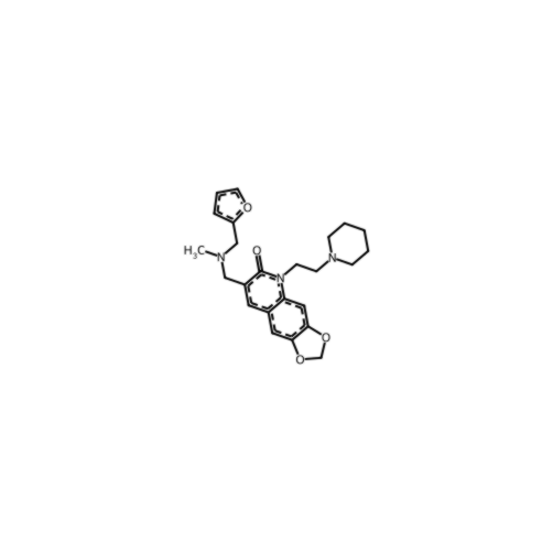 CN(Cc1ccco1)Cc1cc2cc3c(cc2n(CCN2CCCCC2)c1=O)OCO3